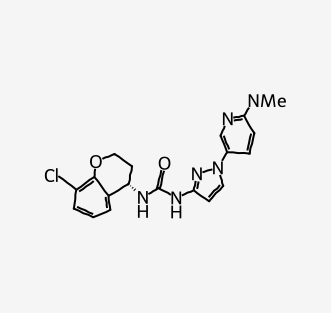 CNc1ccc(-n2ccc(NC(=O)N[C@H]3CCOc4c(Cl)cccc43)n2)cn1